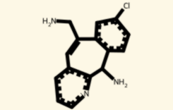 NCC1=Cc2cccnc2C(N)c2ccc(Cl)cc21